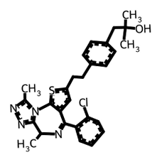 Cc1nnc2n1-c1sc(CCc3ccc(CC(C)(C)O)cc3)cc1C(c1ccccc1Cl)=NC2C